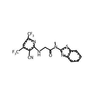 CN(C(=O)CNc1nc(C(F)(F)F)cc(C(F)(F)F)c1C#N)c1nc2ccccc2s1